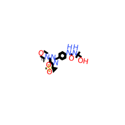 C[C@H]1COCCN1c1cc(C2(S(C)(=O)=O)CC2)nc(-c2ccc(NC(=O)NC(C)(C)CO)cc2)n1